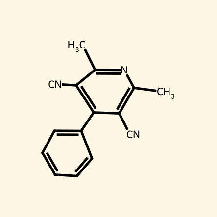 [C-]#[N+]c1c(C)nc(C)c(C#N)c1-c1ccccc1